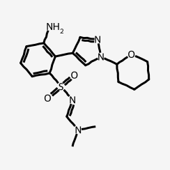 CN(C)C=NS(=O)(=O)c1cccc(N)c1-c1cnn(C2CCCCO2)c1